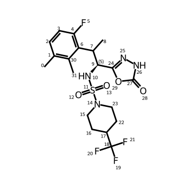 Cc1ccc(F)c(C(C)[C@H](NS(=O)(=O)N2CCC(C(F)(F)F)CC2)c2n[nH]c(=O)o2)c1C